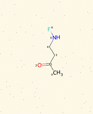 CC(=O)CCNF